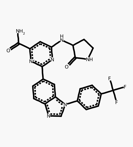 NC(=O)c1cc(NC2CCNC2=O)nc(-c2ccc3ncn(-c4ccc(C(F)(F)F)cc4)c3c2)n1